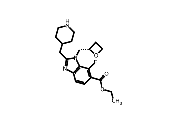 CCOC(=O)c1ccc2nc(CC3CCNCC3)n(C[C@@H]3CCO3)c2c1F